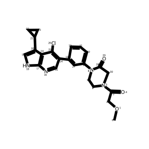 COCC(=O)N1CCN(c2cccc(-c3cnc4[nH]cc(C5CC5)c4c3Cl)c2)C(=O)C1